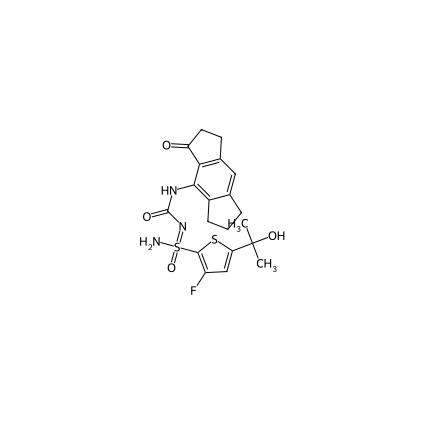 CC(C)(O)c1cc(F)c(S(N)(=O)=NC(=O)Nc2c3c(cc4c2C(=O)CC4)CCC3)s1